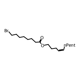 CCCCC/C=C\CCCOC(=O)CCCCCCCBr